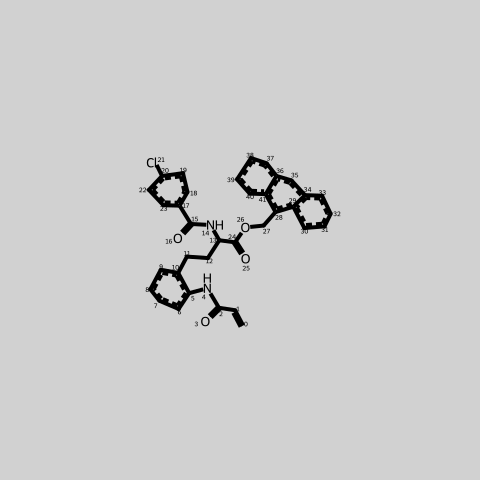 C=CC(=O)Nc1ccccc1CCC(NC(=O)c1ccc(Cl)cc1)C(=O)OCc1c2ccccc2cc2ccccc12